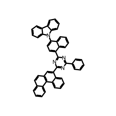 c1ccc(-c2nc(-c3ccc(-n4c5ccccc5c5ccccc54)c4ccccc34)nc(-c3cc4ccc5ccccc5c4c4ccccc34)n2)cc1